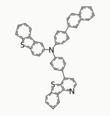 c1ccc2cc(-c3ccc(N(c4ccc(-c5ccnc6c5sc5ccccc56)cc4)c4ccc5sc6ccccc6c5c4)cc3)ccc2c1